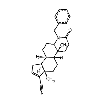 C[C@]12CCC(=O)N(Cc3ccccc3)C1CC[C@@H]1[C@H]2CC[C@]2(C)C(C#N)=CC[C@@H]12